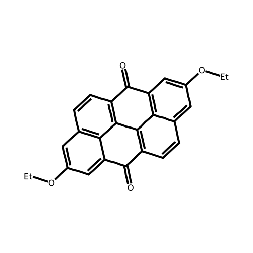 CCOc1cc2ccc3c4c2c(c1)c(=O)c1ccc2cc(OCC)cc(c3=O)c2c1-4